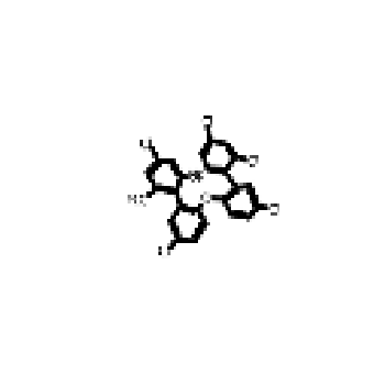 N#Cc1cc(Cl)cc(Cl)c1-c1cc(Cl)ccc1Oc1ccc(Cl)cc1-c1c(Cl)cc(Cl)cc1C#N